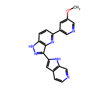 COc1cncc(-c2ccc3[nH]nc(-c4cc5ccncc5[nH]4)c3n2)c1